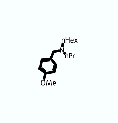 CCCCCCN(CCC)Cc1ccc(OC)cc1